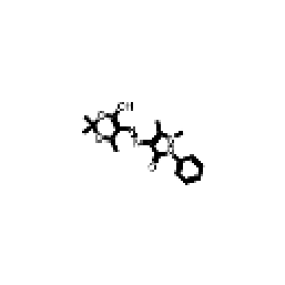 Cc1c(/N=N/C2=C(O)OC(C)(C)OC2C)c(=O)n(-c2ccccc2)n1C